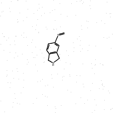 C=Nc1ccc2c(c1)CNC2